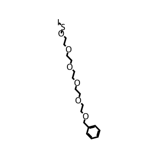 ISOCCOCCOCCOCCOCCOCc1ccccc1